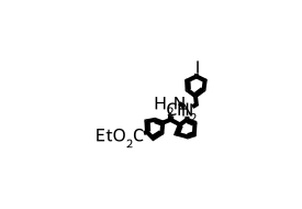 C=C(c1ccc(C(=O)OCC)cc1)c1ccccc1N(N)CC1=CCC(I)C=C1